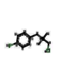 C[Si](C)(CCl)Cc1ccc(F)cc1